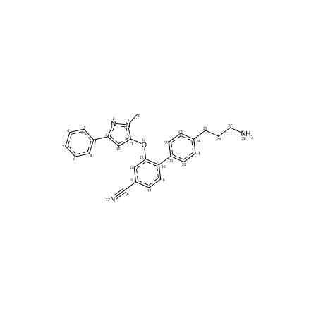 Cn1nc(-c2ccccc2)cc1Oc1cc(C#N)ccc1-c1ccc(CCCN)cc1